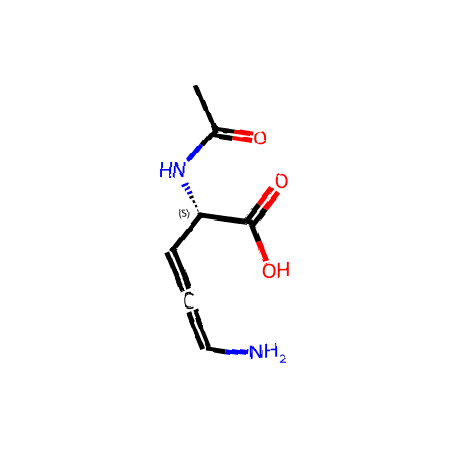 CC(=O)N[C@@H](C=C=CN)C(=O)O